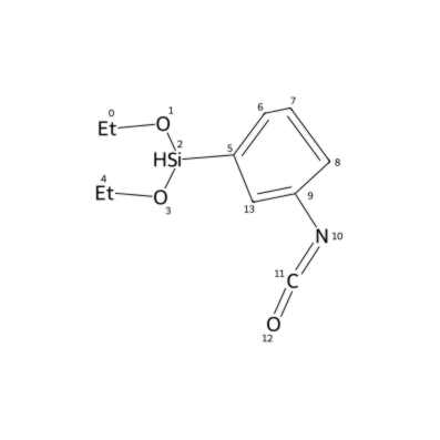 CCO[SiH](OCC)c1cccc(N=C=O)c1